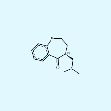 CN(C)C[C@@H]1CCSc2ccccc2C1=O